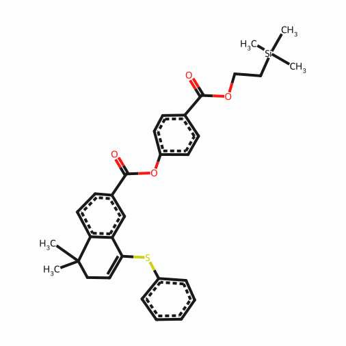 CC1(C)CC=C(Sc2ccccc2)c2cc(C(=O)Oc3ccc(C(=O)OCC[Si](C)(C)C)cc3)ccc21